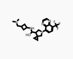 CN(C)CC1CC(NC(O)C2CN(c3ccc(C(F)(F)F)c4nccnc34)CC23CC3)C1